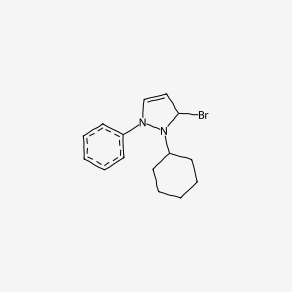 BrC1C=CN(c2ccccc2)N1C1CCCCC1